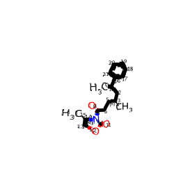 CC(C[C@H](C)CCC(=O)N1C(=O)OC[C@H]1C)c1ccccc1